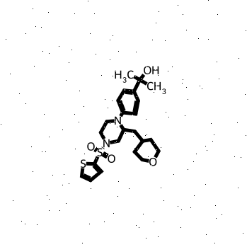 CC(C)(O)c1ccc(N2CCN(S(=O)(=O)c3cccs3)CC2CC2CCOCC2)cc1